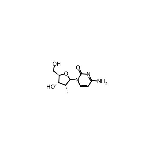 C[C@H]1C(n2ccc(N)nc2=O)O[C@H](CO)[C@H]1O